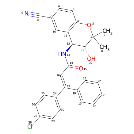 CC1(C)Oc2ccc(C#N)cc2[C@H](NC(=O)/C=C(\c2ccccc2)c2ccc(Cl)cc2)[C@H]1O